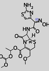 COCC1=C(C(=O)OC(C)OC(=O)OC)N2C(=O)C(NC(=O)/C(=N\O)c3csc(N)n3)[C@H]2SC1